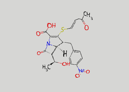 CC(=O)C=CSC1=C(C(=O)O)N2C(=O)[C@@H]([C@H](C)O)[C@@H]2C1Cc1ccc([N+](=O)[O-])cc1